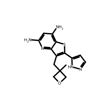 CC1(Cc2c(-c3ccn[nH]3)sc3c(N)cc(N)nc23)COC1